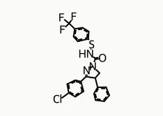 O=C(NSc1ccc(C(F)(F)F)cc1)N1CC(c2ccccc2)C(c2ccc(Cl)cc2)=N1